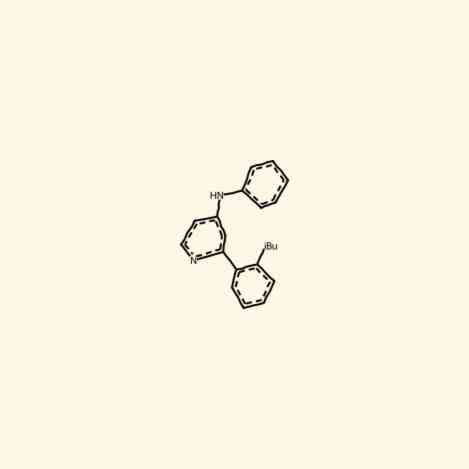 CCC(C)c1ccccc1-c1cc(Nc2ccccc2)ccn1